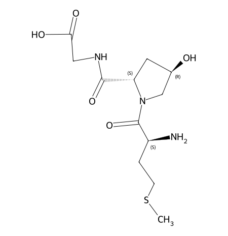 CSCC[C@H](N)C(=O)N1C[C@H](O)C[C@H]1C(=O)NCC(=O)O